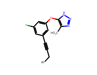 CC(C)CC#Cc1cc(F)cc(Oc2[nH]nnc2C(=O)O)c1